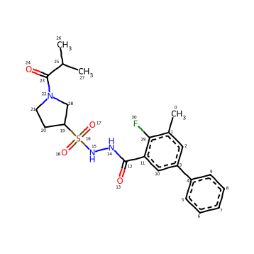 Cc1cc(-c2ccccc2)cc(C(=O)NNS(=O)(=O)C2CCN(C(=O)C(C)C)C2)c1F